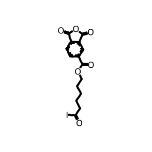 O=C(I)CCCCCOC(=O)c1ccc2c(c1)C(=O)OC2=O